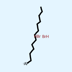 Br.Br.CCCCCCCCCCC[CH2][Al]